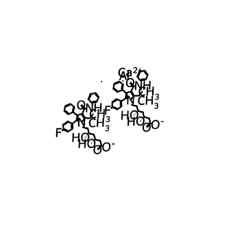 CC(C)c1c(C(=O)Nc2ccccc2)c(-c2ccccc2)c(-c2ccc(F)cc2)n1CC[C@@H](O)C[C@@H](O)CC(=O)[O-].CC(C)c1c(C(=O)Nc2ccccc2)c(-c2ccccc2)c(-c2ccc(F)cc2)n1CC[C@@H](O)C[C@@H](O)CC(=O)[O-].[Al].[Ca+2]